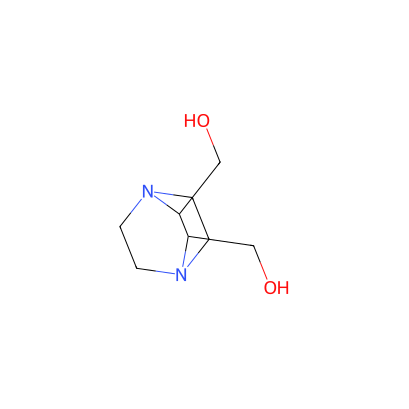 OCC1C(CO)N2CCN1CC2